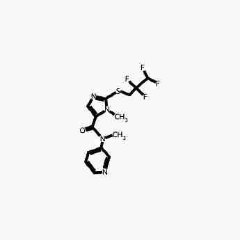 CN(C(=O)c1cnc(SCC(F)(F)C(F)F)n1C)c1cccnc1